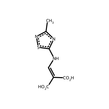 Cc1nsc(NC=C(C(=O)O)C(=O)O)n1